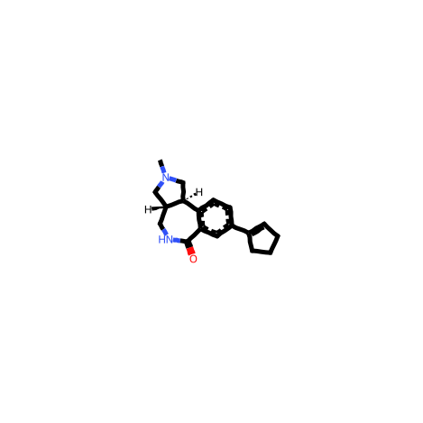 CN1C[C@H]2CNC(=O)c3cc(C4=CCCC4)ccc3[C@@H]2C1